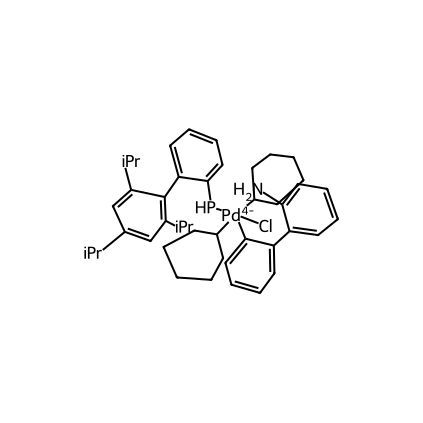 CC(C)c1cc(C(C)C)c(-c2ccccc2[PH][Pd-4]([Cl])([c]2ccccc2-c2ccccc2N)([CH]2CCCCC2)[CH]2CCCCC2)c(C(C)C)c1